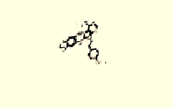 Nc1ncnc2c1nc(Sc1cc3c(cc1Br)OCO3)n2CCC1CCC(N)CC1